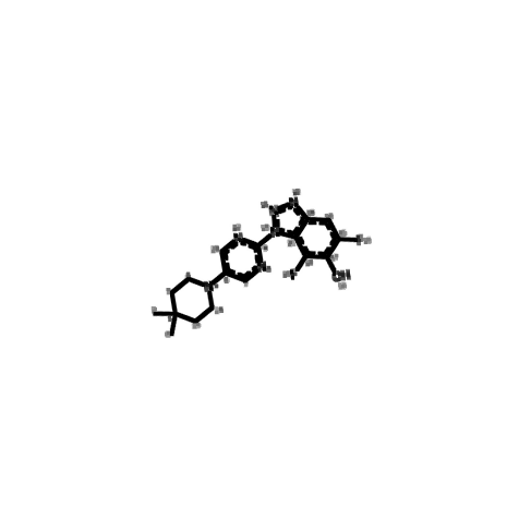 CC1(C)CCN(c2cnc(-n3nnc4cc(F)c(O)c(F)c43)nc2)CC1